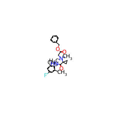 Cc1cc(F)cc(C)c1NC(=O)C1([N+](C)(C)CC(=O)OCc2ccccc2)CC1